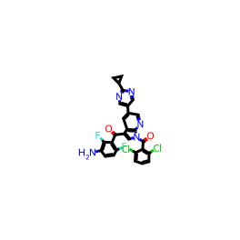 Nc1ccc(F)c(C(=O)c2cn(C(=O)c3c(Cl)cccc3Cl)c3ncc(-c4cnc(C5CC5)nc4)cc23)c1F